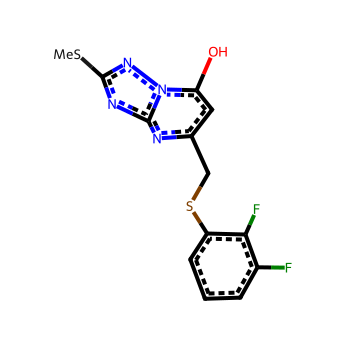 CSc1nc2nc(CSc3cccc(F)c3F)cc(O)n2n1